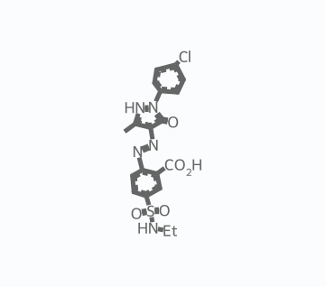 CCNS(=O)(=O)c1ccc(N=Nc2c(C)[nH]n(-c3ccc(Cl)cc3)c2=O)c(C(=O)O)c1